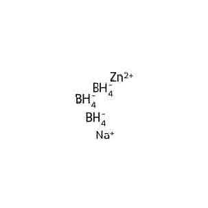 [BH4-].[BH4-].[BH4-].[Na+].[Zn+2]